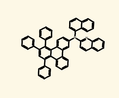 c1ccc(-c2cc(-c3ccccc3)c3c4ccccc4c4cc(N(c5ccc6ccccc6n5)c5cccc6ccccc56)ccc4c3c2-c2ccccc2)cc1